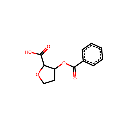 O=C(OC1CCOC1C(=O)O)c1ccccc1